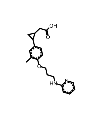 Cc1cc(C2CC2CC(=O)O)ccc1OCCCNc1ccccn1